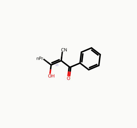 CCC/C(O)=C(\C#N)C(=O)c1ccccc1